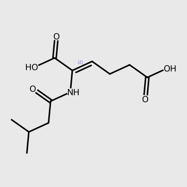 CC(C)CC(=O)N/C(=C\CCC(=O)O)C(=O)O